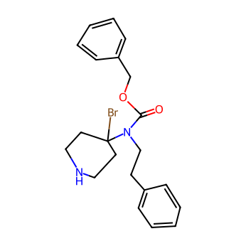 O=C(OCc1ccccc1)N(CCc1ccccc1)C1(Br)CCNCC1